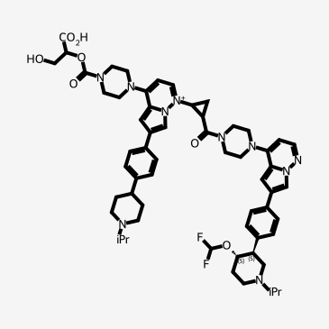 CC(C)N1CCC(c2ccc(-c3cc4c(N5CCN(C(=O)OC(CO)C(=O)O)CC5)cc[n+](C5CC5C(=O)N5CCN(c6ccnn7cc(-c8ccc([C@H]9CN(C(C)C)CC[C@@H]9OC(F)F)cc8)cc67)CC5)n4c3)cc2)CC1